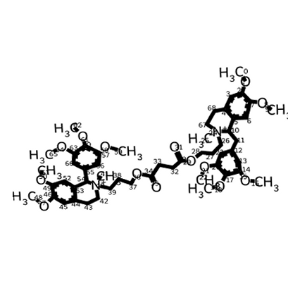 COc1cc2c(cc1OC)C(Cc1cc(OC)c(OC)c(OC)c1)[N+](C)(CCCOC(=O)CCC(=O)OCCC[N+]1(C)CCc3cc(OC)c(OC)cc3C1c1cc(OC)c(OC)c(OC)c1)CC2